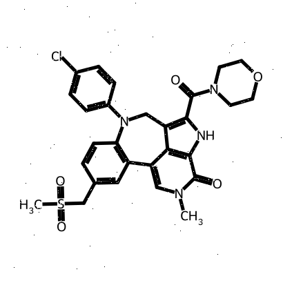 Cn1cc2c3c(c(C(=O)N4CCOCC4)[nH]c3c1=O)CN(c1ccc(Cl)cc1)c1ccc(CS(C)(=O)=O)cc1-2